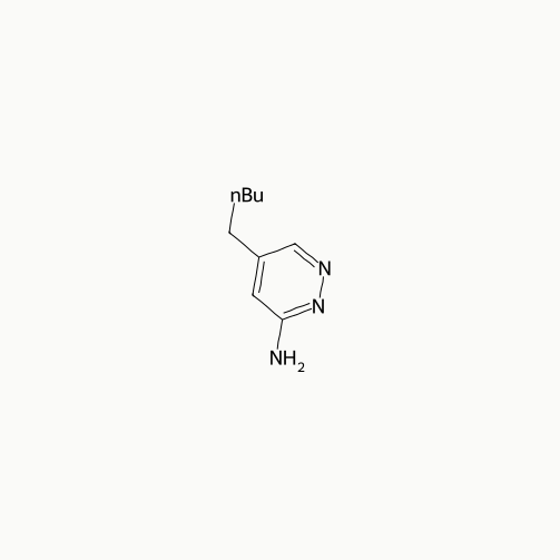 CCCCCc1cnnc(N)c1